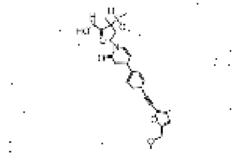 COCc1ccc(C#Cc2ccc(-c3ccn(CCC(C)(C(=O)NO)S(C)(=O)=O)c(=O)c3)cc2)o1